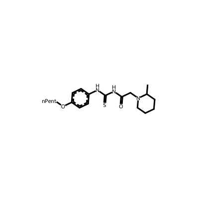 CCCCCOc1ccc(NC(=S)NC(=O)CN2CCCCC2C)cc1